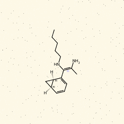 CCCCCN/C(C1=CC=C[C@H]2C[C@@H]12)=C(/C)N